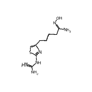 N=C(N)Nc1nc(CCCCC(N)=NO)cs1